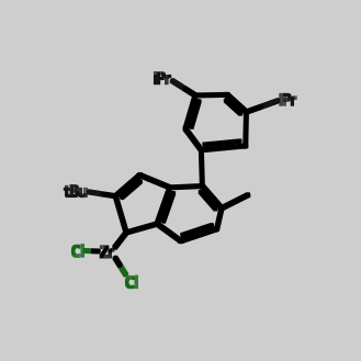 Cc1ccc2c(c1-c1cc(C(C)C)cc(C(C)C)c1)C=C(C(C)(C)C)[CH]2[Zr]([Cl])[Cl]